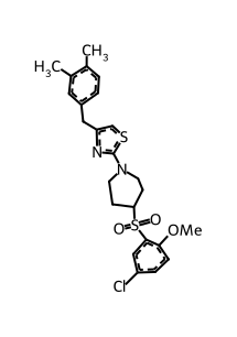 COc1ccc(Cl)cc1S(=O)(=O)C1CCN(c2nc(Cc3ccc(C)c(C)c3)cs2)CC1